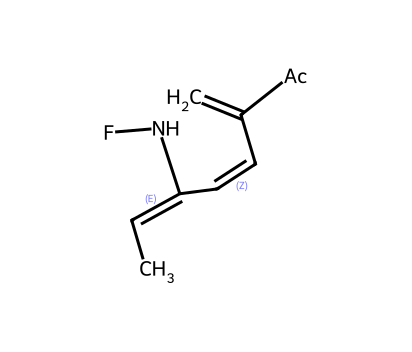 C=C(/C=C\C(=C/C)NF)C(C)=O